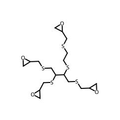 C(CSC(CSCC1CO1)C(CSCC1CO1)SCC1CO1)SCC1CO1